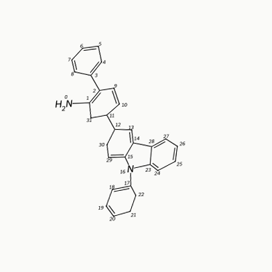 NC1=C(c2ccccc2)C=CC(C2C=c3c(n(C4=CC=CCC4)c4ccccc34)=CC2)C1